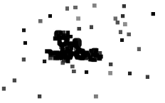 CCCCNc1ncc2c(n1)N(C1CCC(C)(O)CC1)C1OC1c1cc(N3CCN(C)CC3)ccc1-2